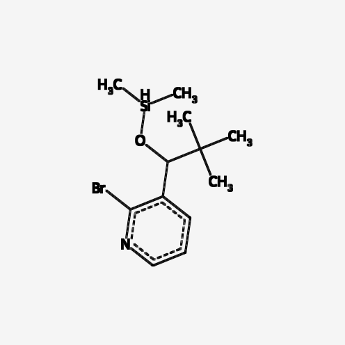 C[SiH](C)OC(c1cccnc1Br)C(C)(C)C